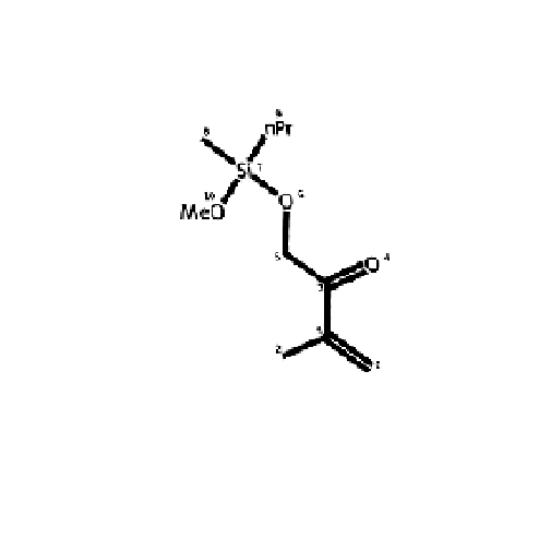 C=C(C)C(=O)CO[Si](C)(CCC)OC